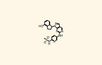 CS(=O)(=O)Nc1ccc(Nc2ncc3cnn(C4CCc5c(O)cccc54)c3n2)cn1